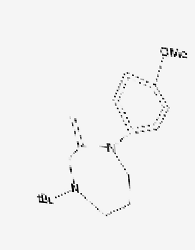 C=C1CN(C(C)(C)C)CCCN1c1ccc(OC)cc1